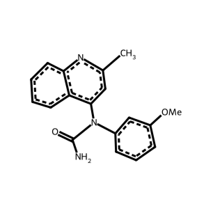 COc1cccc(N(C(N)=O)c2cc(C)nc3ccccc23)c1